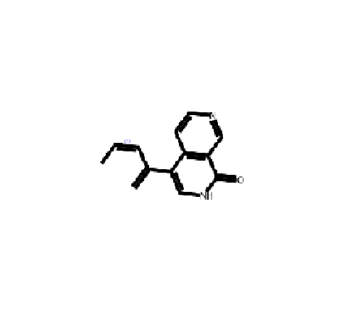 C=C(/C=C\C)c1c[nH]c(=O)c2cnccc12